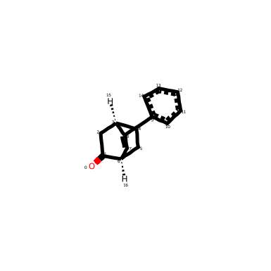 O=C1C[C@H]2CC[C@@H]1C=C2c1ccccc1